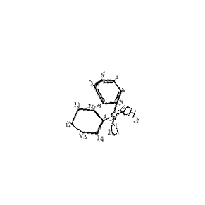 C[Si](Cl)(c1ccccc1)C1CCCCC1